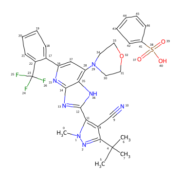 Cn1nc(C(C)(C)C)c(C#N)c1-c1nc2nc(-c3ccccc3C(F)(F)F)cc(N3CCOCC3)c2[nH]1.O=S(=O)(O)c1ccccc1